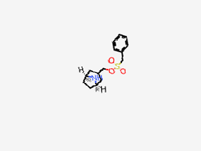 O=S(=O)(Cc1ccccc1)OCC1C[C@H]2CC[C@@H](C1)N2